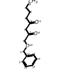 CCCCC(=O)CC(=O)COCc1ccccc1